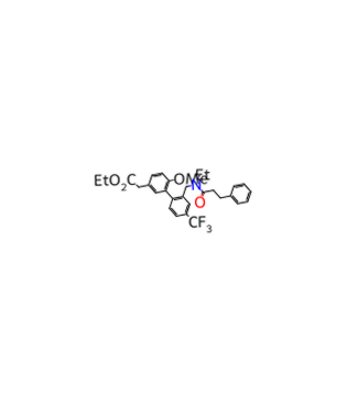 CCOC(=O)Cc1ccc(OC)c(-c2ccc(C(F)(F)F)cc2CN(CC)C(=O)CCc2ccccc2)c1